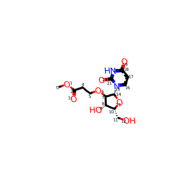 COC(=O)CCOC1[C@@H](O)[C@@H](CO)O[C@H]1n1ccc(=O)[nH]c1=O